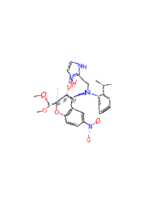 COC(OC)[C@]1(C)Oc2ccc([N+](=O)[O-])cc2[C@H](N(Cc2ncc[nH]2)c2ccccc2C(C)C)[C@H]1O